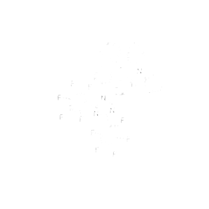 Fc1c(F)c(F)c(-c2nc(-c3cc4c5c(c3)c3ccccc3n5-c3ccccc3C4(c3ccccc3)c3ccccc3)nc(-c3c(F)c(F)c(F)c(F)c3F)n2)c(F)c1F